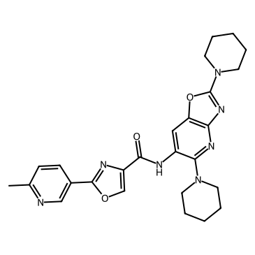 Cc1ccc(-c2nc(C(=O)Nc3cc4oc(N5CCCCC5)nc4nc3N3CCCCC3)co2)cn1